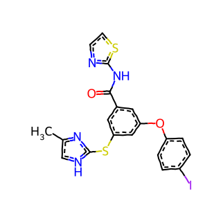 Cc1c[nH]c(Sc2cc(Oc3ccc(I)cc3)cc(C(=O)Nc3nccs3)c2)n1